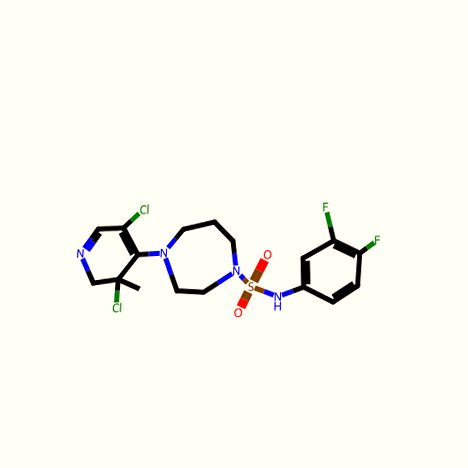 CC1(Cl)CN=CC(Cl)=C1N1CCCN(S(=O)(=O)Nc2ccc(F)c(F)c2)CC1